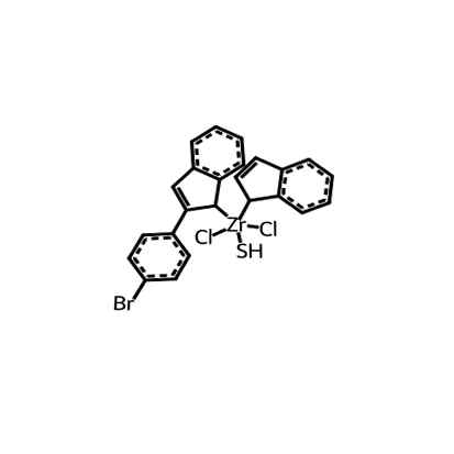 [SH][Zr]([Cl])([Cl])([CH]1C=Cc2ccccc21)[CH]1C(c2ccc(Br)cc2)=Cc2ccccc21